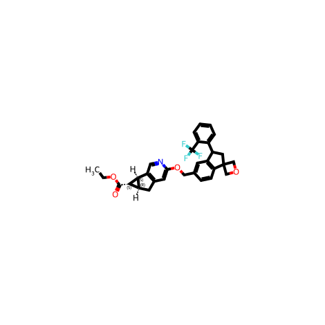 CCOC(=O)[C@H]1[C@@H]2Cc3cc(OCc4ccc5c(c4)C(c4ccccc4C(F)(F)F)CC54COC4)ncc3[C@@H]21